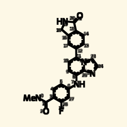 CNC(=O)c1ccc(Nc2ccc(-c3ccc4c(c3)CNC4=O)n3ccnc23)cc1F